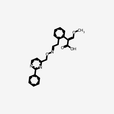 CO/C=C(/C(=O)O)c1ccccc1CC=NOCc1ccnc(-c2ccccc2)n1